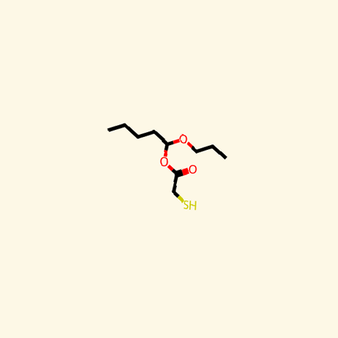 CCCCC(OCCC)OC(=O)CS